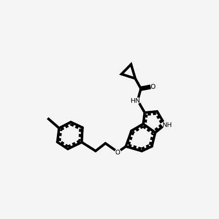 Cc1ccc(CCOc2ccc3[nH]cc(NC(=O)C4CC4)c3c2)cc1